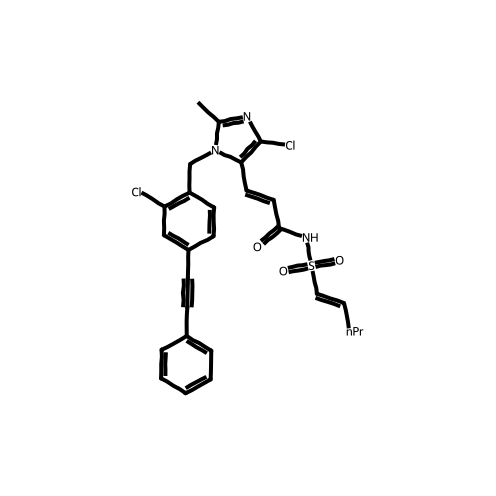 CCC/C=C/S(=O)(=O)NC(=O)/C=C/c1c(Cl)nc(C)n1Cc1ccc(C#Cc2ccccc2)cc1Cl